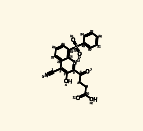 N#Cc1c(O)c(C(=O)CCC(=O)O)nc2c(S(=O)(=O)c3ccccc3)cccc12